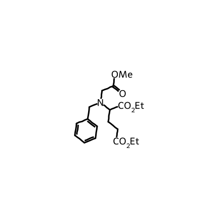 CCOC(=O)CCC(C(=O)OCC)N(CC(=O)OC)Cc1ccccc1